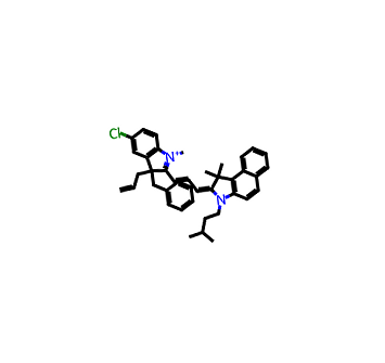 C=CCC1(Cc2ccccc2)C(/C=C/C=C2/N(CCC(C)C)c3ccc4ccccc4c3C2(C)C)=[N+](C)c2ccc(Cl)cc21